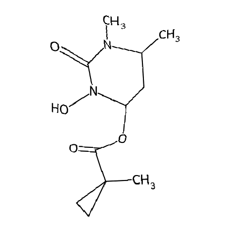 CC1CC(OC(=O)C2(C)CC2)N(O)C(=O)N1C